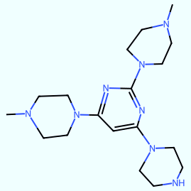 CN1CCN(c2cc(N3CCNCC3)nc(N3CCN(C)CC3)n2)CC1